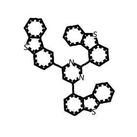 c1ccc2c(c1)sc1ccc(-c3cc(-c4cccc5sc6ccccc6c45)nc(-c4cccc5sc6ccccc6c45)n3)cc12